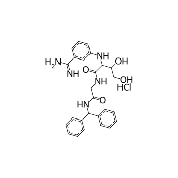 Cl.N=C(N)c1cccc(NC(C(=O)NCC(=O)NC(c2ccccc2)c2ccccc2)C(O)CO)c1